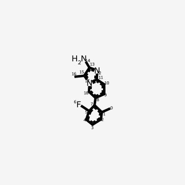 Cc1cccc(F)c1-c1ccc2nc(N)c(C)n2c1